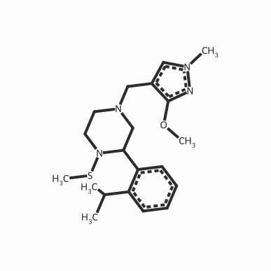 COc1nn(C)cc1CN1CCN(SC)C(c2ccccc2C(C)C)C1